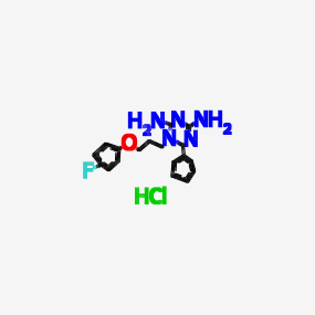 Cl.NC1=NC(c2ccccc2)N(CCCOc2ccc(F)cc2)C(N)=N1